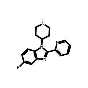 Fc1ccc2c(c1)nc(-c1ccccn1)n2C1CCNCC1